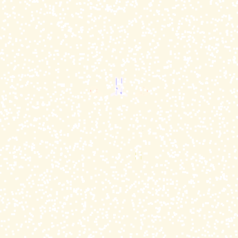 O=C1Cc2cc(S)ccc2C(=O)N1